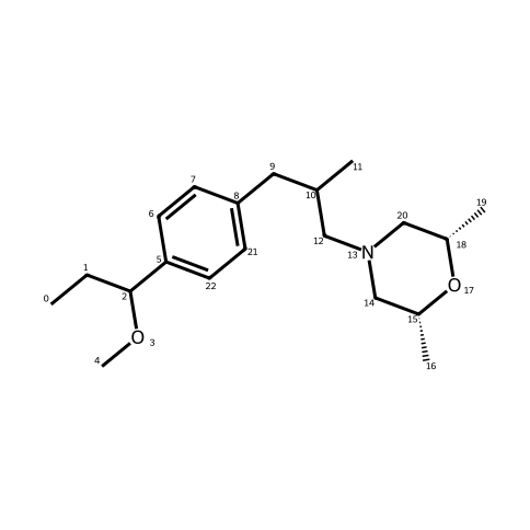 CCC(OC)c1ccc(CC(C)CN2C[C@@H](C)O[C@@H](C)C2)cc1